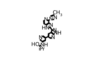 Cc1cn(-c2nccc3[nH]c(-c4n[nH]c5ncc(-c6cncc(NC(O)C(C)C)c6)cc45)nc23)cn1